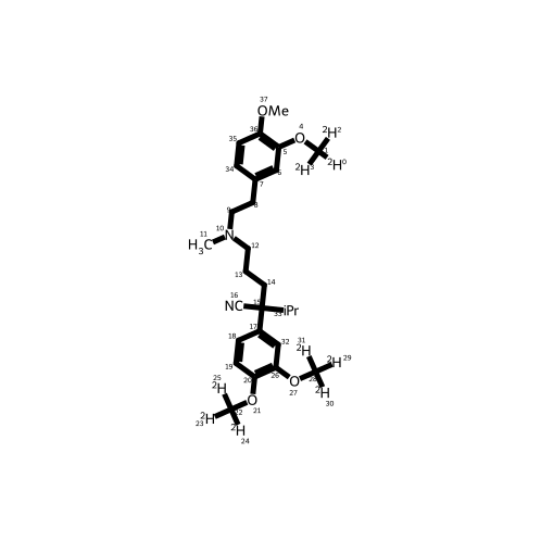 [2H]C([2H])([2H])Oc1cc(CCN(C)CCCC(C#N)(c2ccc(OC([2H])([2H])[2H])c(OC([2H])([2H])[2H])c2)C(C)C)ccc1OC